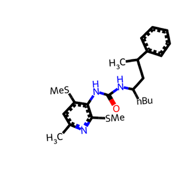 CCCCC(CC(C)c1ccccc1)NC(=O)Nc1c(SC)cc(C)nc1SC